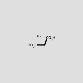 O=C(O)CC(=O)O.[Pr]